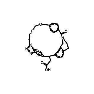 O=C(O)CC1c2ccc3c(c2)CN(CC3)C(=O)c2ccc(cc2)OCCCCn2nnc3cc1ccc32